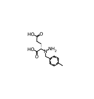 Cc1ccc(CN(N)[C@@H](CCC(=O)O)C(=O)O)cc1